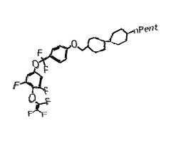 CCCCCC1CCC(C2CCC(COc3ccc(C(F)(F)Oc4cc(F)c(OC(F)=C(F)F)c(F)c4)cc3)CC2)CC1